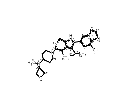 Cc1cc(-c2[nH]c3cnc(N4CCC(N(C)C5COC5)CC4)c(F)c3c2C(C)C)cn2ncnc12